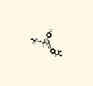 C=CC(=O)OCCNC(=O)OC(COc1ccc(C(C)C(CC)C(C)C)cc1)CSc1ccc(Cl)cc1